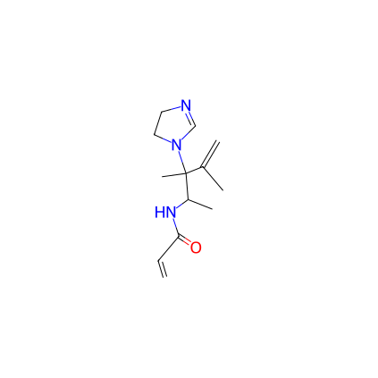 C=CC(=O)NC(C)C(C)(C(=C)C)N1C=NCC1